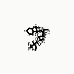 CCC(C)(C(=O)OC1(C(F)(F)F)OC(C2CCCCC2)(C(F)(F)F)C(F)(F)C(O)(CC)C1(F)F)C(F)(F)F